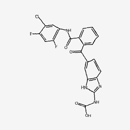 O=C(O)Nc1nc2ccc(C(=O)c3ccccc3C(=O)Nc3cc(Cl)c(F)cc3F)cc2[nH]1